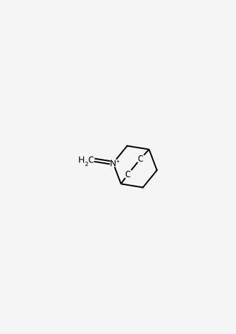 C=[N+]1CC2CCC1CC2